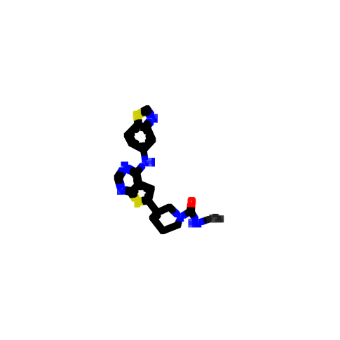 CC(C)(C)NC(=O)N1CCC=C(c2cc3c(Nc4ccc5scnc5c4)ncnc3s2)C1